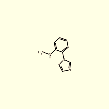 NNc1ccccc1-n1cncn1